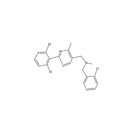 CCc1cccc(CC)c1-c1ccc(CN(C)Cc2ccccc2Cl)c(C)n1